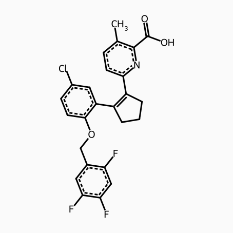 Cc1ccc(C2=C(c3cc(Cl)ccc3OCc3cc(F)c(F)cc3F)CCC2)nc1C(=O)O